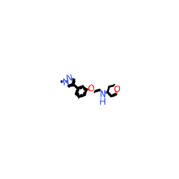 Cn1cc(-c2c[c]cc(OCCNC3CCOCC3)c2)cn1